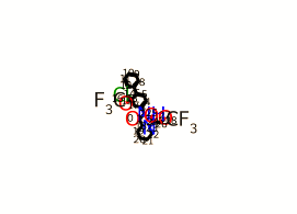 O=C(NC1=CC=C(c2ccccc2)C(Cl)(OC(F)(F)F)C1)C1CCCCN1C(=O)COC(F)(F)F